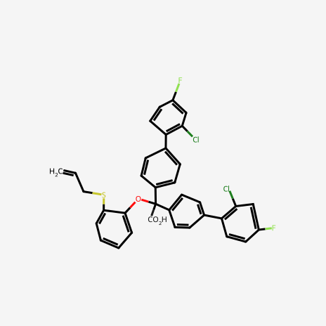 C=CCSc1ccccc1OC(C(=O)O)(c1ccc(-c2ccc(F)cc2Cl)cc1)c1ccc(-c2ccc(F)cc2Cl)cc1